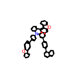 c1cc(-c2ccc(-c3cccc4ccccc34)cc2)cc(N(c2ccc(-c3ccc4oc5ccccc5c4c3)cc2)c2ccccc2-c2cccc3oc4ccccc4c23)c1